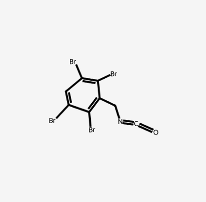 O=C=NCc1c(Br)c(Br)cc(Br)c1Br